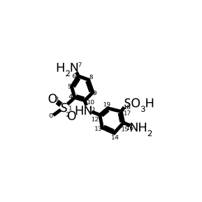 CS(=O)(=O)c1cc(N)ccc1Nc1ccc(N)c(S(=O)(=O)O)c1